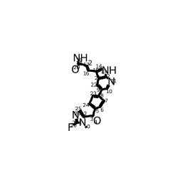 Cn1c(C(=O)c2ccc(-c3cnc4[nH]cc(/C=C/C(N)=O)c4c3)cc2)cnc1F